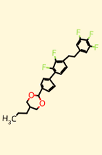 CCCC1COC(c2ccc(-c3ccc(CCc4cc(F)c(F)c(F)c4)c(F)c3F)cc2)OC1